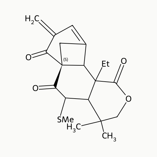 C=C1C=C2C[C@]3(C1=O)C(=O)C(SC)C1C(C)(C)COC(=O)C1(CC)C23